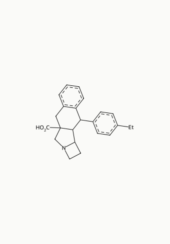 CCc1ccc(C2c3ccccc3CC3(C(=O)O)CN4CCC4C23)cc1